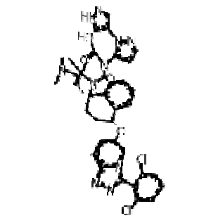 CN(C)CC[C@@]1(N(C(=O)N(C(=O)O)c2ccnn2-c2cn[nH]c2)C(C)(C)C)CC[C@@H](Oc2ccc3nnc(-c4c(Cl)cccc4Cl)n3c2)c2ccccc21